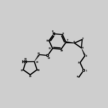 COCC[C@H]1C[C@@H]1c1cncc(OC[C@@H]2CCCN2)c1